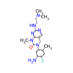 Cc1cc(F)c(N)cc1N1Cc2cnc(NCCN(C)C)nc2N(C)C1=O